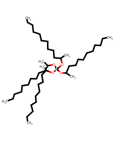 CCCCCCCCCCC(C)O[Si](OC(C)CCCCCCCCCC)(OC(C)CCCCCCCCCC)OC(C)CCCCCCCCCC